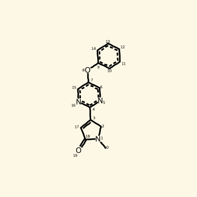 CN1CC(c2ncc(Oc3ccccc3)cn2)=CC1=O